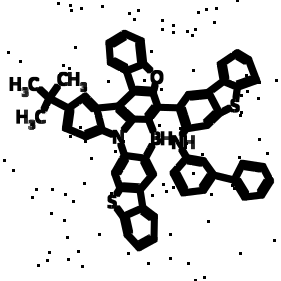 CC(C)(C)c1ccc2c(c1)c1c3c(oc4ccccc43)c(-c3cc4c(cc3Nc3cccc(-c5ccccc5)c3)sc3ccccc34)c3c1n2-c1cc2sc4ccccc4c2cc1B3